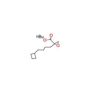 CCCCOC(=O)C1(CCCCC2CCC2)CO1